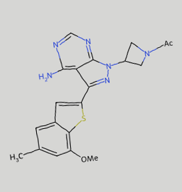 COc1cc(C)cc2cc(-c3nn(C4CN(C(C)=O)C4)c4ncnc(N)c34)sc12